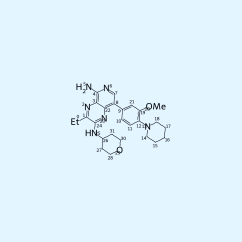 CCc1nc2c(N)ncc(-c3ccc(N4CCCCC4)c(OC)c3)c2nc1NC1CCOCC1